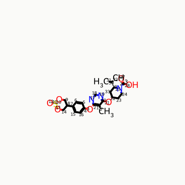 Cc1c(Oc2ccc(C3COS(=O)OC3)cc2)ncnc1O[C@@H]1CCN(C(=O)O)[C@@H](C(C)C)C1